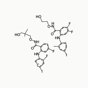 CC(C)(CO)CONC(=O)c1ccc(F)cc1Nc1ccc(I)cc1F.Cc1cc(I)ccc1Nc1cc(F)c(F)cc1C(=O)NOCCO